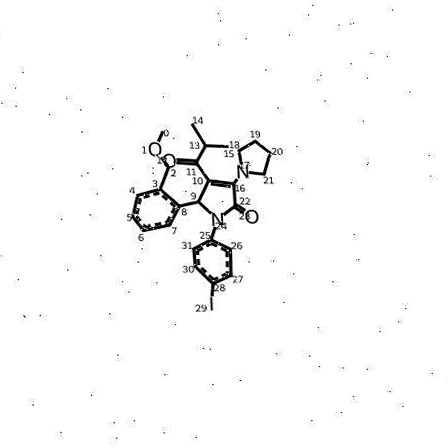 COCc1ccccc1C1C(C(=O)C(C)C)=C(N2CCCC2)C(=O)N1c1ccc(I)cc1